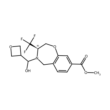 COC(=O)c1ccc2c(c1)OC[C@H](C(F)(F)F)N(C(O)C1COC1)C2